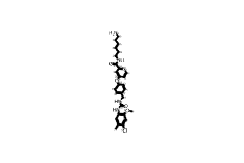 COc1cc(Cl)c(C)cc1NC(=O)NCc1ccc(Oc2ccnc(C(=O)NCCCCCCN)c2)cc1